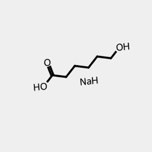 O=C(O)CCCCCO.[NaH]